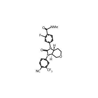 CNC(=O)c1ccc(N2C(=O)N(c3ccc(C#N)c(C(F)(F)F)c3)[C@@H]3COCC[C@H]32)cc1F